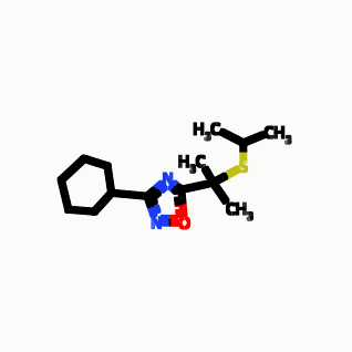 CC(C)SC(C)(C)c1nc(C2CCCCC2)no1